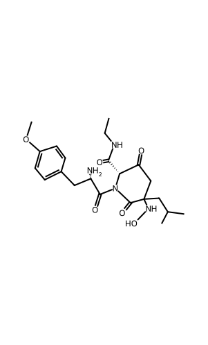 CCNC(=O)[C@@H]1C(=O)CC(CC(C)C)(NO)C(=O)N1C(=O)[C@@H](N)Cc1ccc(OC)cc1